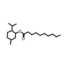 CCCCCCCCCC(=O)OC1CC(C)CCC1C(C)C